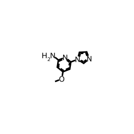 COc1cc(N)nc(-n2ccnc2)c1